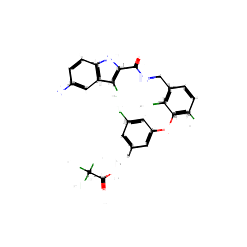 N#Cc1cc(Cl)cc(Oc2c(Cl)ccc(CNC(=O)c3[nH]c4ccc(N)cc4c3Cl)c2F)c1.O=C(O)C(F)(F)F